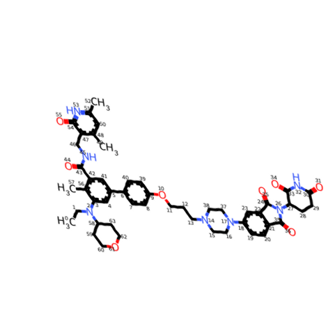 CCN(c1cc(-c2ccc(OCCCN3CCN(c4ccc5c(c4)C(=O)N(C4CCC(=O)NC4=O)C5=O)CC3)cc2)cc(C(=O)NCc2c(C)cc(C)[nH]c2=O)c1C)C1CCOCC1